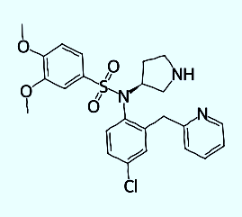 COc1ccc(S(=O)(=O)N(c2ccc(Cl)cc2Cc2ccccn2)[C@H]2CCNC2)cc1OC